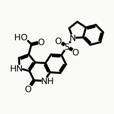 O=C(O)c1c[nH]c2c(=O)[nH]c3ccc(S(=O)(=O)N4CCc5ccccc54)cc3c12